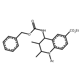 CCOC(=O)c1ccc2c(c1)C(NC(=O)OCc1ccccc1)C(C)C(C)N2C(C)=O